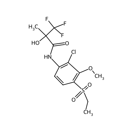 CCS(=O)(=O)c1ccc(NC(=O)C(C)(O)C(F)(F)F)c(Cl)c1OC